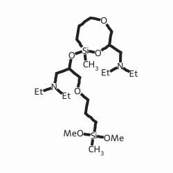 CCN(CC)CC(COCCC[Si](C)(OC)OC)O[Si]1(C)CCCOCC(CN(CC)CC)O1